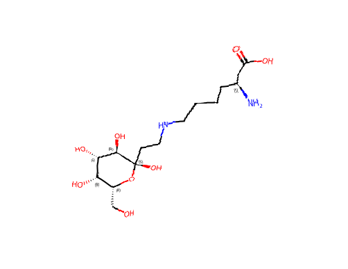 N[C@@H](CCCCNCC[C@]1(O)O[C@H](CO)[C@H](O)[C@H](O)[C@H]1O)C(=O)O